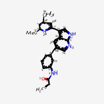 C=CC(=O)Nc1cccc(-c2cnc3[nH]cc(-c4cc(C)cc(OC)n4)c3c2)c1